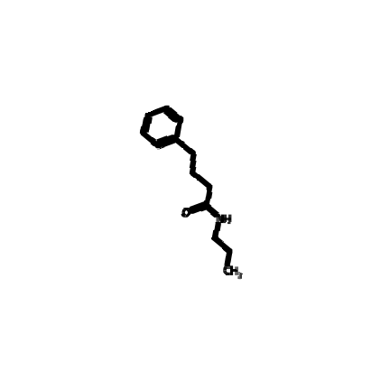 CCCNC(=O)CCCc1ccccc1